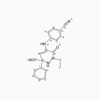 CCN1NC(C#N)(c2ccccc2)C=C(Nc2ccc(C#N)cc2)C1=O